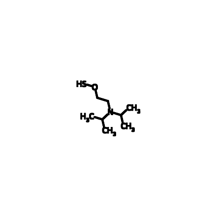 CC(C)N(CCOS)C(C)C